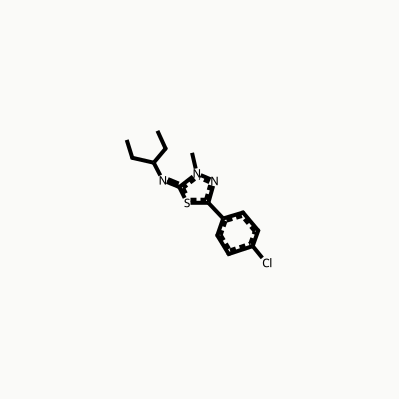 CCC(CC)N=c1sc(-c2ccc(Cl)cc2)nn1C